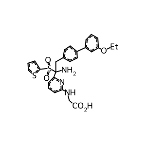 CCOc1cccc(-c2ccc(CC(N)(c3cccc(NCC(=O)O)n3)S(=O)(=O)c3cccs3)cc2)c1